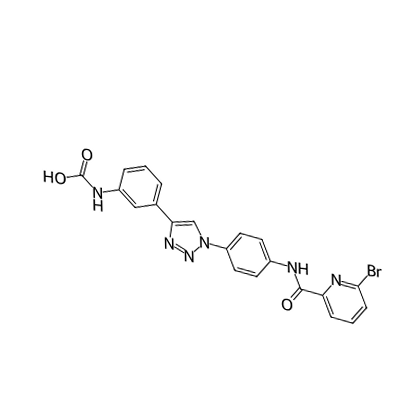 O=C(O)Nc1cccc(-c2cn(-c3ccc(NC(=O)c4cccc(Br)n4)cc3)nn2)c1